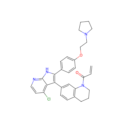 C=CC(=O)N1CCCc2ccc(-c3c(-c4ccc(OCCN5CCCC5)cc4)[nH]c4nccc(Cl)c34)cc21